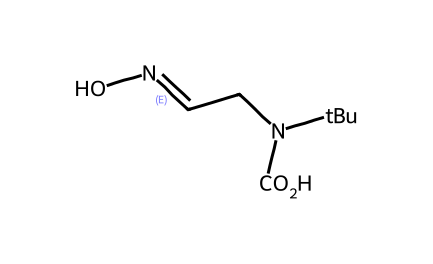 CC(C)(C)N(C/C=N/O)C(=O)O